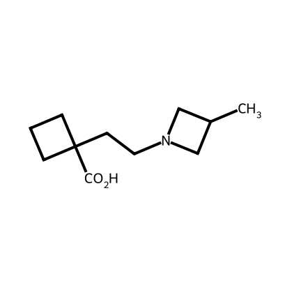 CC1CN(CCC2(C(=O)O)CCC2)C1